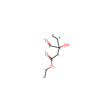 CCOC(=O)CC(O)(C=O)CC